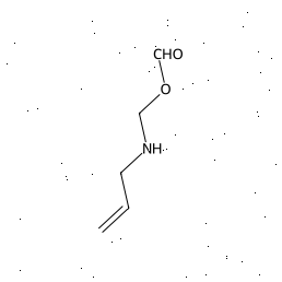 C=CCNCOC=O